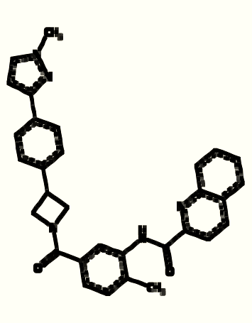 Cc1ccc(C(=O)N2CC(c3ccc(-c4ccn(C)n4)cc3)C2)cc1NC(=O)c1ccc2ccccc2n1